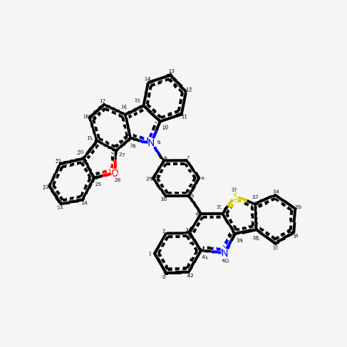 c1ccc2c(-c3ccc(-n4c5ccccc5c5ccc6c7ccccc7oc6c54)cc3)c3sc4ccccc4c3nc2c1